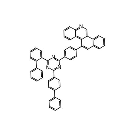 c1ccc(-c2ccc(-c3nc(-c4ccc(-c5cc6ccccc6c6cnc7ccccc7c56)cc4)nc(-c4ccccc4-c4ccccc4)n3)cc2)cc1